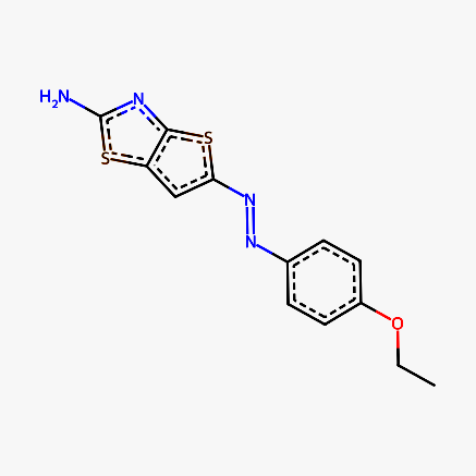 CCOc1ccc(N=Nc2cc3sc(N)nc3s2)cc1